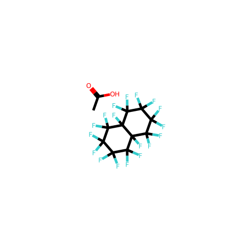 CC(=O)O.FC1(F)C(F)(F)C(F)(F)C2(F)C(F)(F)C(F)(F)C(F)(F)C(F)(F)C2(F)C1(F)F